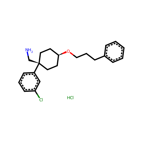 Cl.NC[C@]1(c2cccc(Cl)c2)CC[C@H](OCCCc2ccccc2)CC1